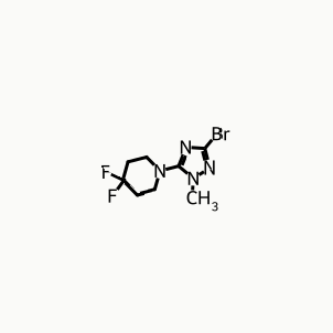 Cn1nc(Br)nc1N1CCC(F)(F)CC1